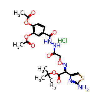 CC(=O)Oc1ccc(C(=O)NNC(=O)CON=C(C(=O)OC(C)(C)C)c2csc(N)n2)cc1OC(C)=O.Cl